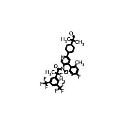 Cc1cc(F)ccc1-c1cc(C2CCC(C(C)(C)C=O)CC2)ncc1N(C)C(=O)C(C)(C)c1cc(C(F)(F)F)cc(C(F)(F)F)c1